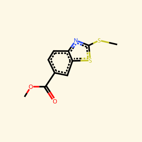 COC(=O)c1ccc2nc(SC)sc2c1